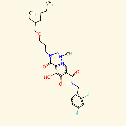 CCCCC(CC)COCCCN1CN(C)n2cc(C(=O)NCc3ccc(F)cc3F)c(=O)c(O)c2C1=O